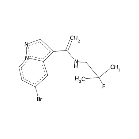 C=C(NCC(C)(C)F)c1cnn2ccc(Br)cc12